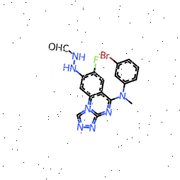 CN(c1cccc(Br)c1)c1nc2nncn2c2cc(NNC=O)c(F)cc12